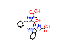 C[C@@H](N[C@@H](CCc1ccccc1)C(=O)O)C(=O)O.NC(Cc1c[nH]c2ccccc12)C(=O)O